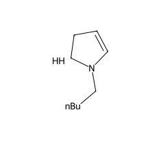 CCCCCN1C=CCC1.[HH]